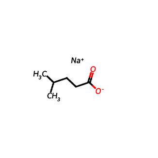 CC(C)CCC(=O)[O-].[Na+]